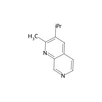 Cc1nc2cnccc2cc1C(C)C